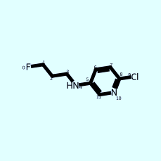 FCCCNc1ccc(Cl)nc1